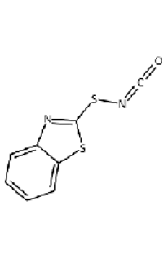 O=C=NSc1nc2ccccc2s1